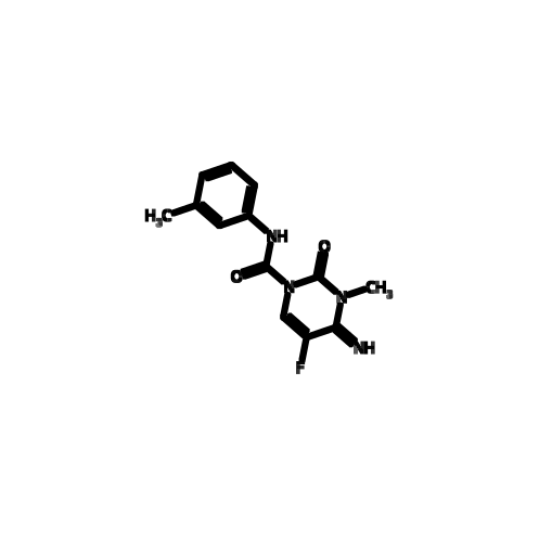 Cc1cccc(NC(=O)n2cc(F)c(=N)n(C)c2=O)c1